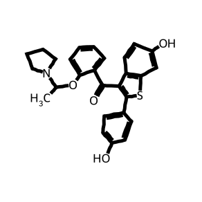 CC(Oc1ccccc1C(=O)c1c(-c2ccc(O)cc2)sc2cc(O)ccc12)N1CCCC1